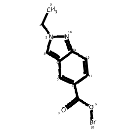 CCn1cc2cc(C(=O)OBr)ccc2n1